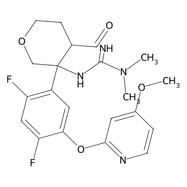 COc1ccnc(Oc2cc(C3(NC(=N)N(C)C)COCCC3C=O)c(F)cc2F)c1